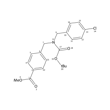 COC(=O)c1ccc(CN(Cc2ccc(Cl)cc2)C(=O)OC(C)(C)C)cc1